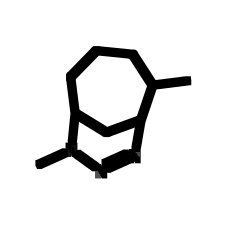 CC1CCCC2CC1N=NN2C